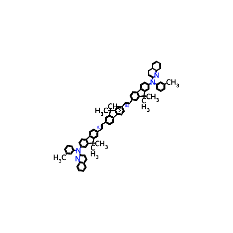 Cc1cccc(N(C2=CCC3C=CC=CC3=N2)c2ccc3c(c2)C(C)(C)c2cc(/C=C/c4ccc5c(c4)C(C)(C)c4cc(/C=C/c6ccc7c(c6)C(C)(C)c6cc(N(c8cccc(C)c8)c8ccc9ccccc9n8)ccc6-7)ccc4-5)ccc2-3)c1